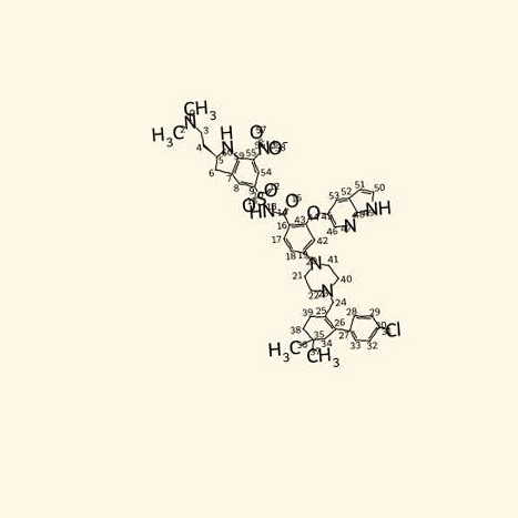 CN(C)CC[C@@H]1Cc2cc(S(=O)(=O)NC(=O)c3ccc(N4CCN(CC5=C(c6ccc(Cl)cc6)CC(C)(C)CC5)CC4)cc3Oc3cnc4[nH]ccc4c3)cc([N+](=O)[O-])c2N1